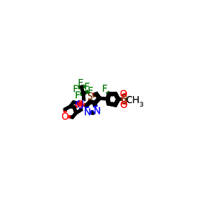 CS(=O)(=O)c1ccc(-c2csc3c(OC4C5COCC4CN(CC(F)(F)C(F)(F)F)C5)ncnc23)c(F)c1